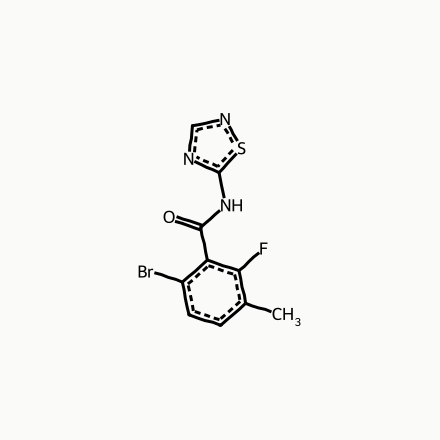 Cc1ccc(Br)c(C(=O)Nc2ncns2)c1F